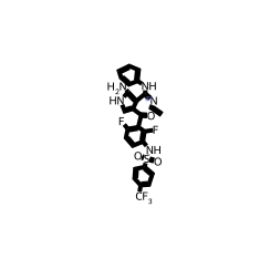 C=C/N=C(/Nc1ccccc1)c1c(C(=O)c2c(F)ccc(NS(=O)(=O)c3ccc(C(F)(F)F)cc3)c2F)c[nH]c1N